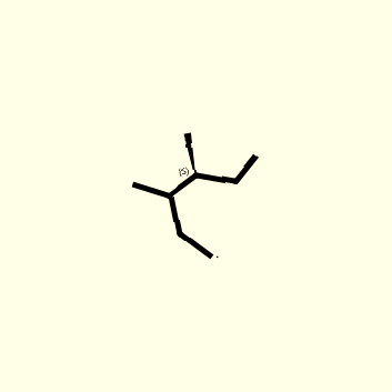 [CH2]CC(C)[C@@H](C)CC